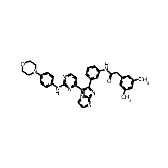 Cc1cc(C)cc(CC(=O)Nc2cccc(-c3nc4sccn4c3-c3ccnc(Nc4ccc(N5CCOCC5)cc4)n3)c2)c1